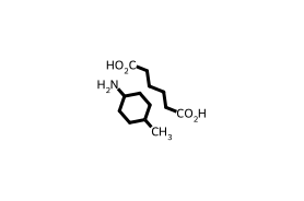 CC1CCC(N)CC1.O=C(O)CCCCC(=O)O